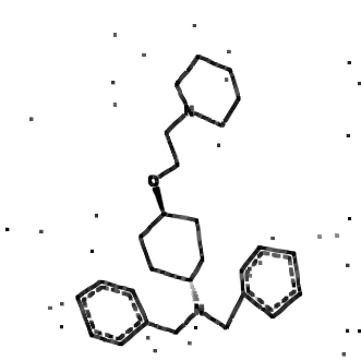 c1ccc(CN(Cc2ccccc2)[C@H]2CC[C@H](OCCN3CCCCC3)CC2)cc1